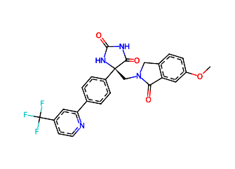 COc1ccc2c(c1)C(=O)N(C[C@@]1(c3ccc(-c4cc(C(F)(F)F)ccn4)cc3)NC(=O)NC1=O)C2